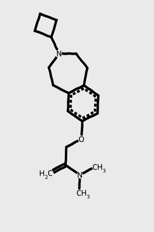 C=C(COc1ccc2c(c1)CCN(C1CCC1)CC2)N(C)C